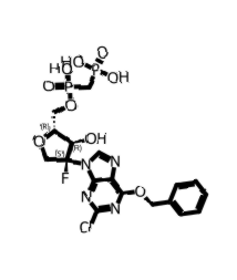 O=P(O)(O)CP(=O)(O)OC[C@H]1OC[C@@](F)(n2cnc3c(OCc4ccccc4)nc(Cl)nc32)[C@@H]1O